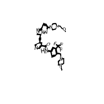 COCCN1CCN(c2ccc3ncc(C#Cc4cncc(C(=O)Nc5ccc(CN6CCN(C)CC6)c(C(F)(F)F)c5)c4)n3n2)CC1